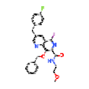 COCCNC(=O)c1nc(I)c2cc(Cc3ccc(F)cc3)cnc2c1OCc1ccccc1